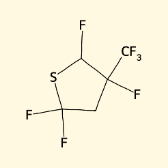 FC1SC(F)(F)CC1(F)C(F)(F)F